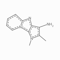 Cc1c(N)c2nc3ccccn3c2n1C